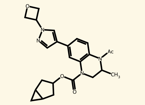 CC(=O)N1c2ccc(-c3cnn(C4COC4)c3)cc2N(C(=O)OC2CC3CC3C2)CC1C